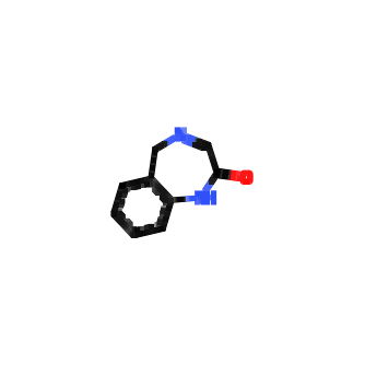 O=C1C=NCc2ccccc2N1